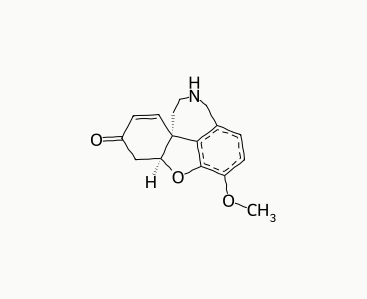 COc1ccc2c3c1O[C@H]1CC(=O)C=C[C@@]31CCNC2